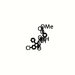 COC(=O)COc1cccc(NC(=O)NCc2c(-c3ccccc3)c3cc(Cl)ccc3c(=O)n2C)c1